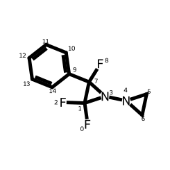 FC1(F)N(N2CC2)C1(F)c1ccccc1